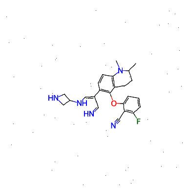 CC1CCc2c(ccc(/C(C=N)=C/NC3CNC3)c2Oc2cccc(F)c2C#N)N1C